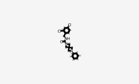 O=C(NCc1ccc(Cl)cc1Cl)N1CC2(C1)CN(c1ccccc1)C2